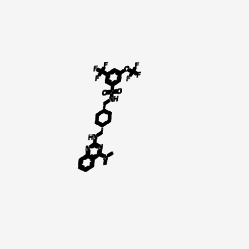 CN(C)c1nc(NC[C@H]2CC[C@H](CNS(=O)(=O)c3cc(OC(F)(F)F)cc(C(F)(F)F)c3)CC2)nc2ccccc12